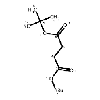 CCCCOC(=O)CCC(=O)OC(C)(C)C#N